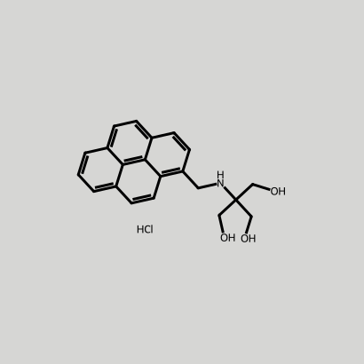 Cl.OCC(CO)(CO)NCc1ccc2ccc3cccc4ccc1c2c34